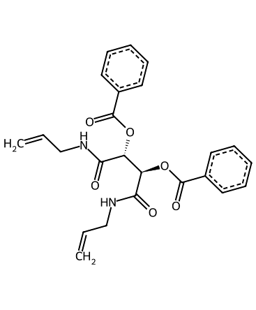 C=CCNC(=O)[C@H](OC(=O)c1ccccc1)[C@@H](OC(=O)c1ccccc1)C(=O)NCC=C